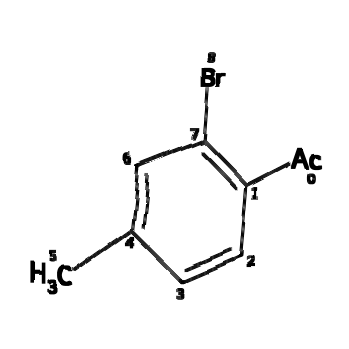 CC(=O)c1ccc(C)cc1Br